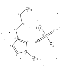 CCCC[n+]1ccn(C)c1.CS(=O)(=O)[O-]